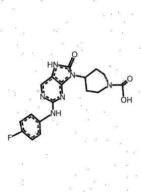 O=C(O)N1CCC(n2c(=O)[nH]c3cnc(Nc4ccc(F)cc4)nc32)CC1